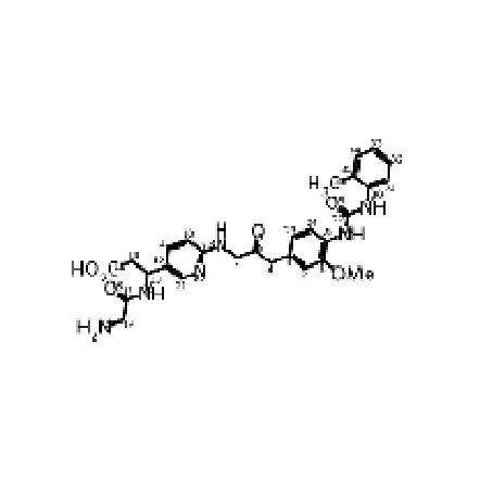 COc1cc(CC(=O)CNc2ccc(C(CC(=O)O)NC(=O)CN)cn2)ccc1NC(=O)Nc1ccccc1C